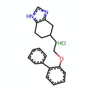 Cl.c1ccc(-c2ccccc2OCCC2CCc3[nH]cnc3C2)cc1